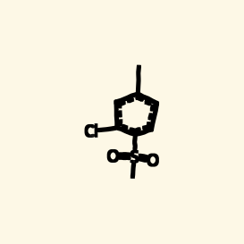 Cc1ccc(S(C)(=O)=O)c(Cl)c1